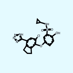 O=S(=O)(NC1CC1)c1cc(Oc2c(Cl)cc(-c3nnn[nH]3)c3c2CCC3)ccc1O